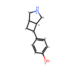 Oc1ccc(C2CC3CNCC32)cc1